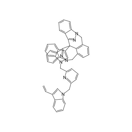 C=Cc1cn(Cc2cccc(Cn3cc(C45c6c(cccc6Cn6nc4c4ccccc46)Cn4nc5c5ccccc54)c4ccccc43)n2)c2ccccc12